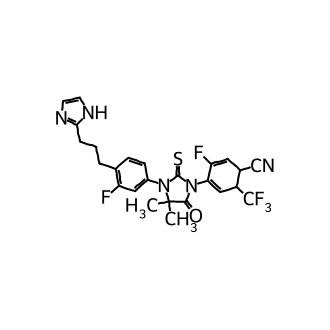 CC1(C)C(=O)N(C2=CC(C(F)(F)F)C(C#N)C=C2F)C(=S)N1c1ccc(CCCc2ncc[nH]2)c(F)c1